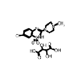 CN1CCN(C2=Nc3ccc(Cl)cc3S(=O)(=O)N2)CC1.O=C(O)C(O)C(O)C(=O)O